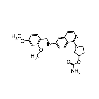 COc1ccc(CNc2ccc3c(N4CCC(OC(N)=O)C4)nccc3c2)c(OC)c1